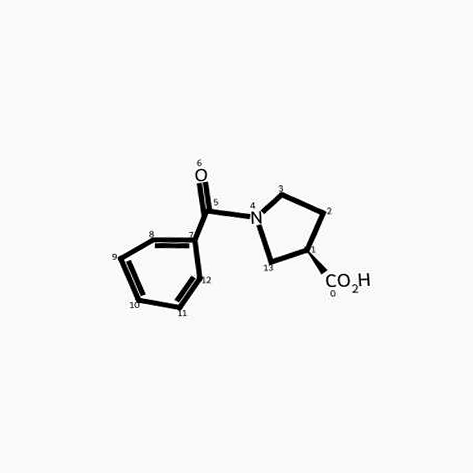 O=C(O)[C@@H]1CCN(C(=O)c2ccccc2)C1